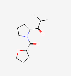 CC(C)C(=O)[C@@H]1CCCN1C(=O)[C@H]1CCCO1